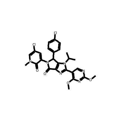 COc1ncc(-c2nc3c(n2C(C)C)C(c2ccc(Cl)cc2)N(c2cc(Cl)cn(C)c2=O)C3=O)c(OC)n1